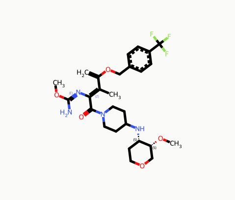 C=C(OCc1ccc(C(F)(F)F)cc1)/C(C)=C(\N=C(/N)OC)C(=O)N1CCC(N[C@H]2CCOC[C@H]2OC)CC1